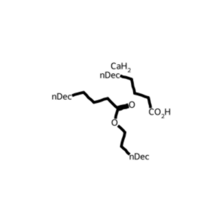 CCCCCCCCCCCCCC(=O)O.CCCCCCCCCCCCCC(=O)OCCCCCCCCCCCC.[CaH2]